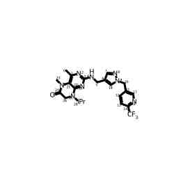 Cc1nc(NCc2cnn(Cc3ccc(C(F)(F)F)nc3)c2)nc2c1N(C)C(=O)CN2C(C)C